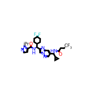 CC(C)n1nccc1C(=O)N[C@H](c1cn2ncc([C@@H](NC(=O)CCC(F)(F)F)C3CC3)cc2n1)C1CCC(F)(F)CC1